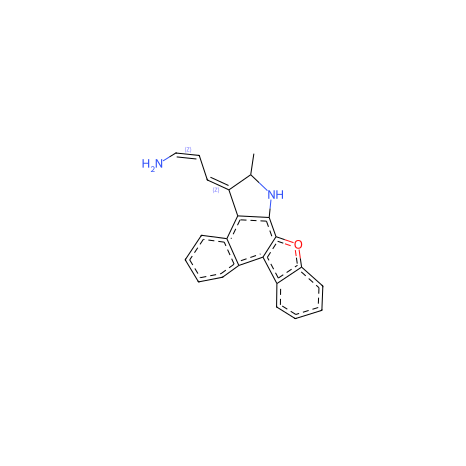 CC1Nc2c(c3ccccc3c3c2oc2ccccc23)/C1=C/C=C\N